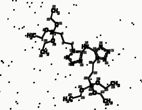 CCO[Si](CCCn1nnnc1Nc1nnnn1CCC[Si](OCC)(OCC)OCC)(OCC)OCC